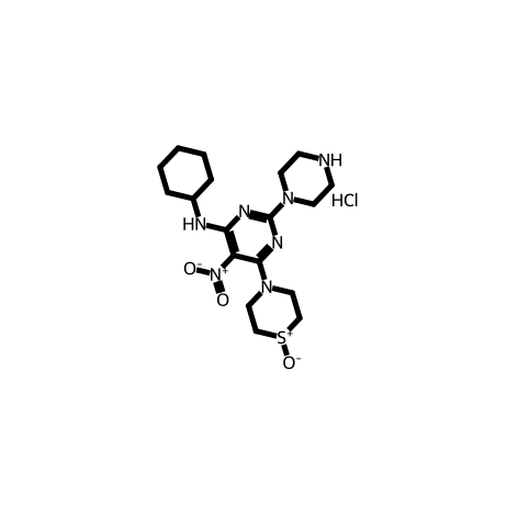 Cl.O=[N+]([O-])c1c(NC2CCCCC2)nc(N2CCNCC2)nc1N1CC[S+]([O-])CC1